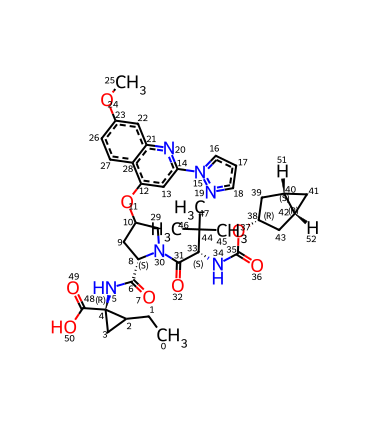 CCC1C[C@]1(NC(=O)[C@@H]1CC(Oc2cc(-n3cccn3)nc3cc(OC)ccc23)CN1C(=O)[C@@H](NC(=O)O[C@@H]1C[C@@H]2C[C@@H]2C1)C(C)(C)C)C(=O)O